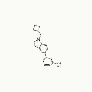 Clc1cccc(-c2ccc3c([c]cn3CC3CCC3)c2)c1